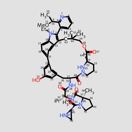 CCn1c(-c2cccnc2[C@H](C)OC)c2c3cc(ccc31)-c1cc(O)cc(c1)C[C@H](NC(=O)[C@@H](C(C)C)N(C)C(=O)[C@@]1(C)CCCN1C(=O)[C@H]1CN1)C(=O)N1CCC[C@H](N1)C(=O)OCC(C)(C)C2